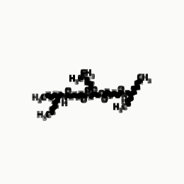 CCCCCCC(CCCC)CNC(=O)CCCCC(=O)OCC(COC(=O)CCCCC(=O)NCC(CCCC)CCCCCC)OC(=O)CCCN(C)C